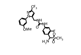 COc1cccc(-n2nc(C(F)(F)F)cc2CNC(=O)Nc2ccc(C(N)S(C)(=O)=O)c(F)c2)c1